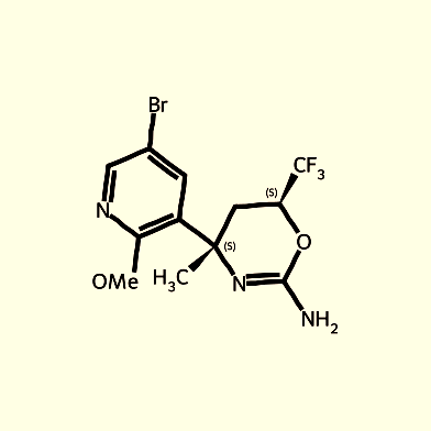 COc1ncc(Br)cc1[C@]1(C)C[C@@H](C(F)(F)F)OC(N)=N1